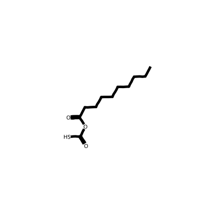 CCCCCCCCCC(=O)OC(=O)S